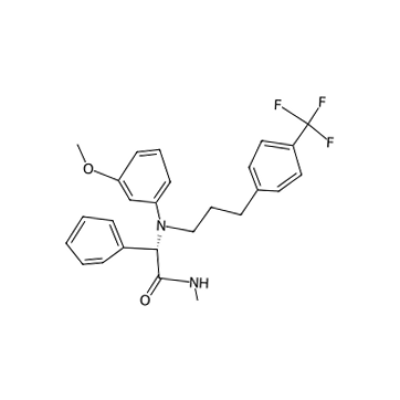 CNC(=O)[C@H](c1ccccc1)N(CCCc1ccc(C(F)(F)F)cc1)c1cccc(OC)c1